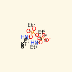 CCNOP(=O)([O-])OCC.CCNOP(=O)([O-])OCC.[K+].[K+]